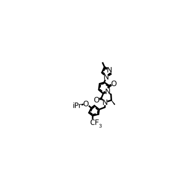 Cc1cn(-c2ccc3n(c2=O)C[C@@H](C)N(Cc2cc(OC(C)C)cc(C(F)(F)F)c2)C3=O)cn1